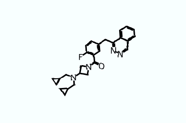 O=C(c1cc(Cc2nncc3ccccc23)ccc1F)N1CC(N(CC2CC2)CC2CC2)C1